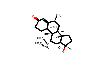 CC(=O)O.CC(=O)O.CC(=O)[C@@]1(O)CC[C@H]2[C@@H]3C[C@H](C)C4=CC(=O)CC[C@]4(C)[C@H]3CC[C@@]21C